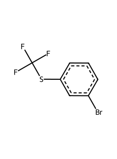 FC(F)(F)Sc1cccc(Br)c1